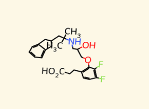 CC(C)(CC1Cc2ccccc2C1)NCC(O)COc1c(CCC(=O)O)ccc(F)c1F